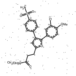 COc1ccc(-c2oc(CCC(=O)N(C)O)cc2-c2ccc(S(N)(=O)=O)cc2)cc1Cl